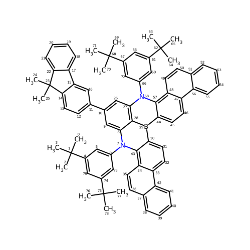 CC(C)(C)c1cc(N2c3cc(-c4ccc5c(c4)-c4ccccc4C5(C)C)cc4c3B(c3ccc5c(ccc6ccccc65)c32)c2ccc3c(ccc5ccccc53)c2N4c2cc(C(C)(C)C)cc(C(C)(C)C)c2)cc(C(C)(C)C)c1